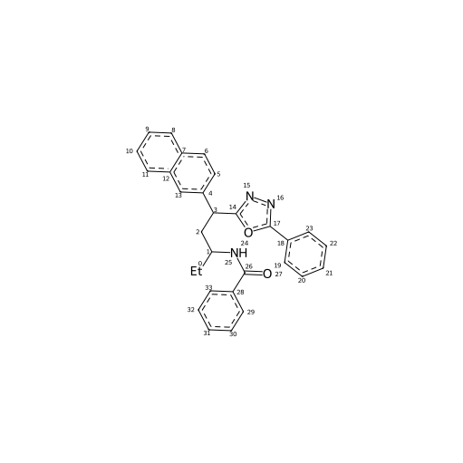 CCC(CC(c1ccc2ccccc2c1)c1nnc(-c2ccccc2)o1)NC(=O)c1ccccc1